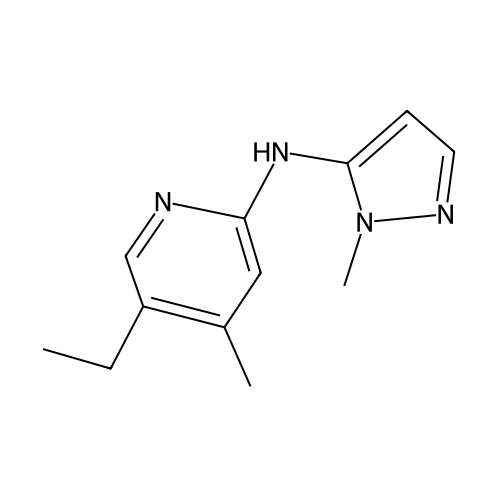 CCc1cnc(Nc2ccnn2C)cc1C